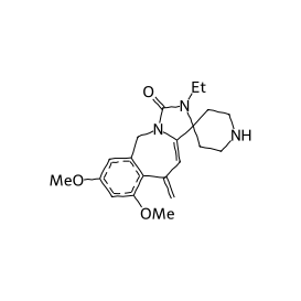 C=C1C=C2N(Cc3cc(OC)cc(OC)c31)C(=O)N(CC)C21CCNCC1